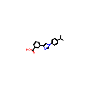 CC(C)c1ccc(-n2cnc(-c3cccc(C(=O)O)c3)c2)cc1